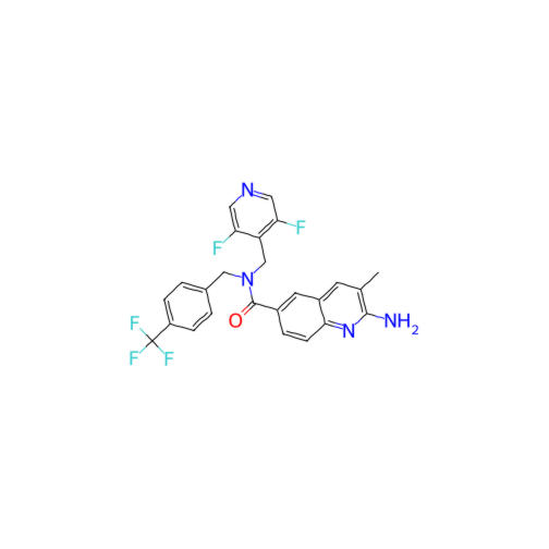 Cc1cc2cc(C(=O)N(Cc3ccc(C(F)(F)F)cc3)Cc3c(F)cncc3F)ccc2nc1N